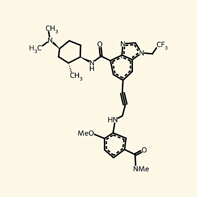 CNC(=O)c1ccc(OC)c(NCC#Cc2cc(C(=O)N[C@@H]3CC[C@H](N(C)C)C[C@H]3C)c3ncn(CC(F)(F)F)c3c2)c1